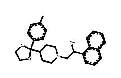 OC(CN1CCC(C2(c3ccc(F)cc3)OCCO2)CC1)c1cccc2ccccc12